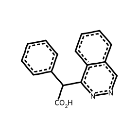 O=C(O)C(c1ccccc1)c1nncc2ccccc12